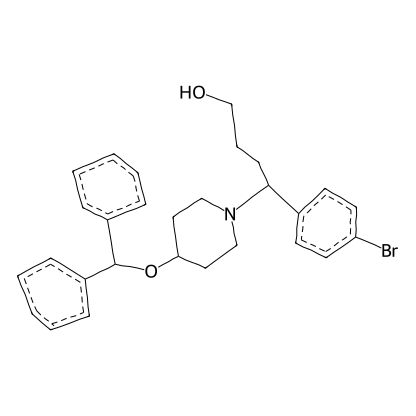 OCCCC(c1ccc(Br)cc1)N1CCC(OC(c2ccccc2)c2ccccc2)CC1